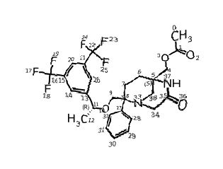 CC(=O)OC[C@@]12CC[C@@](CO[C@H](C)c3cc(C(F)(F)F)cc(C(F)(F)F)c3)(c3ccccc3)N(CC(=O)N1)C2